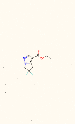 CCOC(=O)c1cnn2c1CC(F)(F)C2